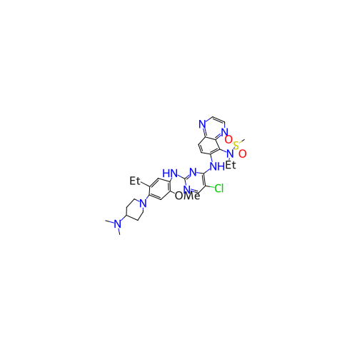 CCc1cc(Nc2ncc(Cl)c(Nc3ccc4nccnc4c3N(CC)S(C)(=O)=O)n2)c(OC)cc1N1CCC(N(C)C)CC1